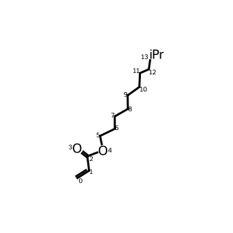 C=CC(=O)OCCCCCCCCC(C)C